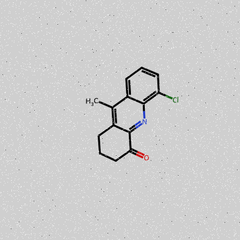 Cc1c2c(nc3c(Cl)cccc13)C(=O)CCC2